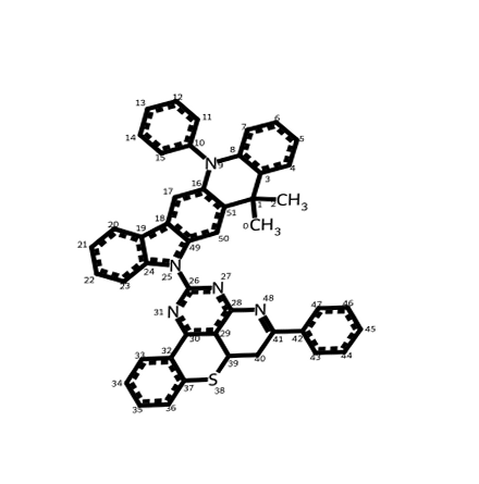 CC1(C)c2ccccc2N(c2ccccc2)c2cc3c4ccccc4n(-c4nc5c6c(n4)-c4ccccc4SC6CC(c4ccccc4)=N5)c3cc21